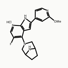 COc1cc(-c2cc3c(N4CC5CCC(C4)N5)c(F)cnc3[nH]2)ccn1.Cl